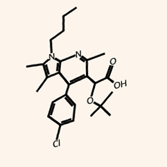 CCCCn1c(C)c(C)c2c(-c3ccc(Cl)cc3)c(C(OC(C)(C)C)C(=O)O)c(C)nc21